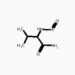 CC(C)C(NN=O)C(N)=O